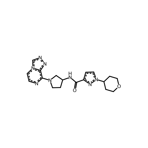 O=C(NC1CCN(c2nccn3cnnc23)C1)c1ccn(C2CCOCC2)n1